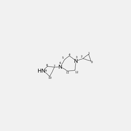 C1CC1N1CCN(C2CNC2)CC1